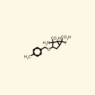 Cc1ccc(COC2CC3C(C2(N)C(=O)O)C3(F)C(=O)O)cc1